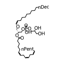 CCCCC/C=C\C/C=C\C/C=C\CCCCC(=O)O[C@H](CO/C=C\CCCCCCCCCCCCCCCCCC)COP(=O)(O)OC[C@@H](O)CO